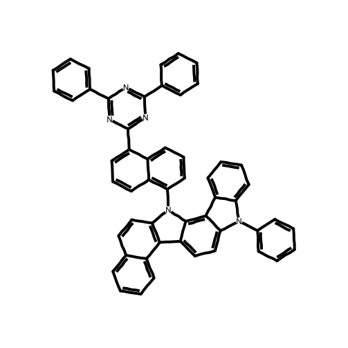 c1ccc(-c2nc(-c3ccccc3)nc(-c3cccc4c(-n5c6ccc7ccccc7c6c6ccc7c(c8ccccc8n7-c7ccccc7)c65)cccc34)n2)cc1